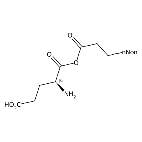 CCCCCCCCCCCC(=O)OC(=O)[C@@H](N)CCC(=O)O